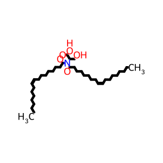 CCCCCCCC/C=C\CCCCCCCC(=O)N(C(=O)CCCCCCC/C=C\CCCCCCCC)C(CO)C(=O)O